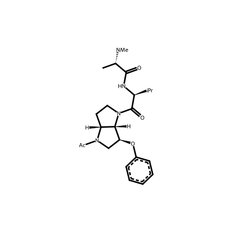 CN[C@@H](C)C(=O)N[C@H](C(=O)N1CC[C@@H]2[C@H]1[C@@H](Oc1ccccc1)CN2C(C)=O)C(C)C